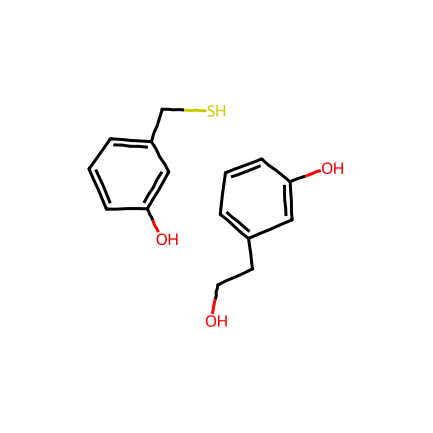 OCCc1cccc(O)c1.Oc1cccc(CS)c1